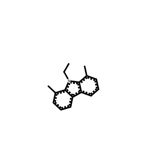 CCn1c2c(C)cccc2c2cccc(C)c21